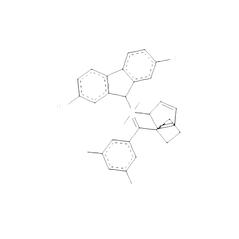 CC(C)c1cc([C](C2CCC2)=[Hf]([Cl])([Cl])([CH]2C=CC=C2)[CH]2c3cc(C(C)(C)C)ccc3-c3ccc(C(C)(C)C)cc32)cc(C(C)C)c1